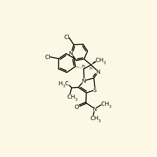 CC(C)C1=C(C(=O)N(C)C)SC2=N[C@@](C)(c3ccc(Cl)nc3)[C@@H](c3ccc(Cl)cc3)N21